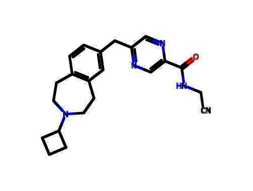 N#CCNC(=O)c1cnc(Cc2ccc3c(c2)CCN(C2CCC2)CC3)cn1